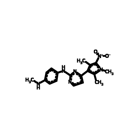 CNc1ccc(Nc2nccc(-c3c(C)c([N+](=O)[O-])n(C)c3C)n2)cc1